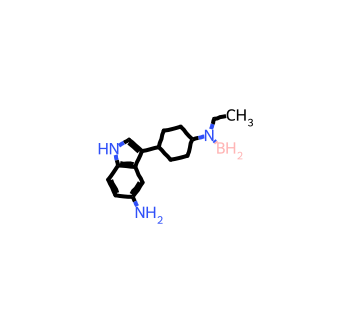 BN(CC)C1CCC(c2c[nH]c3ccc(N)cc23)CC1